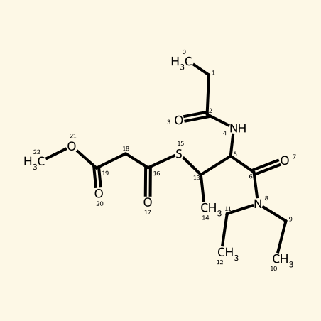 CCC(=O)NC(C(=O)N(CC)CC)C(C)SC(=O)CC(=O)OC